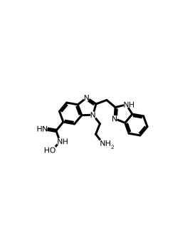 N=C(NO)c1ccc2nc(Cc3nc4ccccc4[nH]3)n(CCN)c2c1